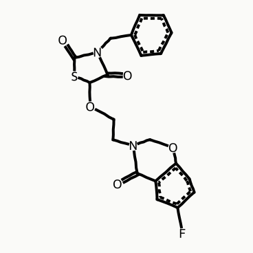 O=C1c2cc(F)ccc2OCN1CCOC1SC(=O)N(Cc2ccccc2)C1=O